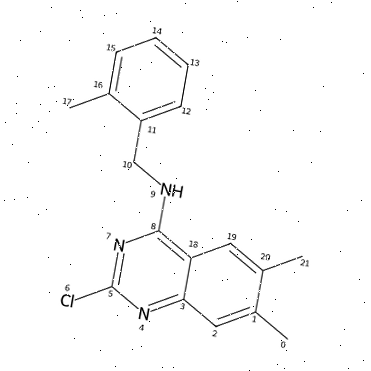 Cc1cc2nc(Cl)nc(NCc3ccccc3C)c2cc1C